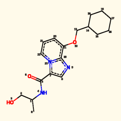 CC(CO)NC(=O)c1cnc2c(OCC3CCCCC3)cccn12